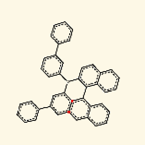 c1ccc(-c2cccc(N(c3cccc(-c4ccccc4)c3)c3ccc4ccccc4c3-c3cccc4ccccc34)c2)cc1